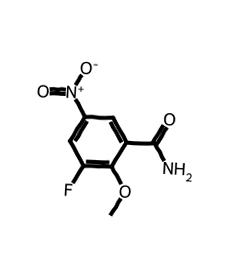 COc1c(F)cc([N+](=O)[O-])cc1C(N)=O